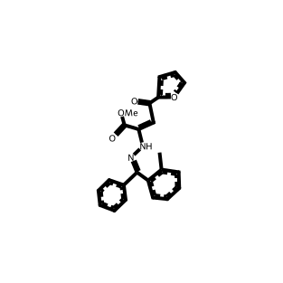 COC(=O)C(=CC(=O)c1ccco1)NN=C(c1ccccc1)c1ccccc1C